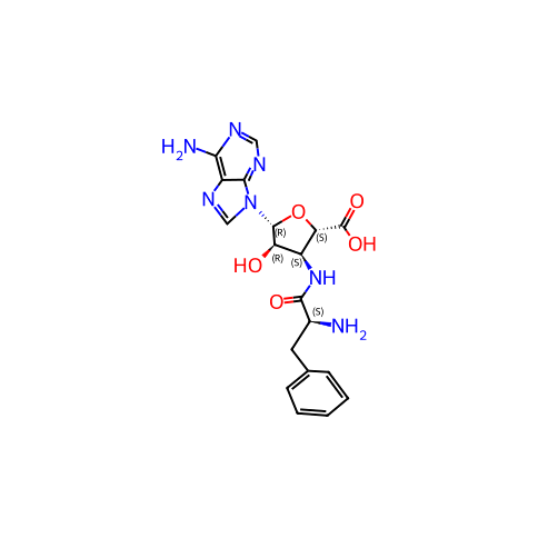 Nc1ncnc2c1ncn2[C@@H]1O[C@H](C(=O)O)[C@@H](NC(=O)[C@@H](N)Cc2ccccc2)[C@H]1O